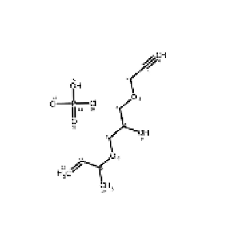 C#CCOCC(O)COC(C)C=C.O=P(O)(Cl)Cl